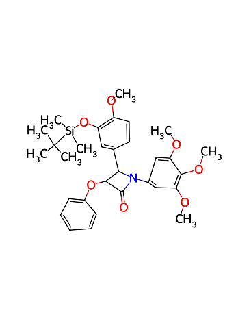 COc1ccc(C2C(Oc3ccccc3)C(=O)N2c2cc(OC)c(OC)c(OC)c2)cc1O[Si](C)(C)C(C)(C)C